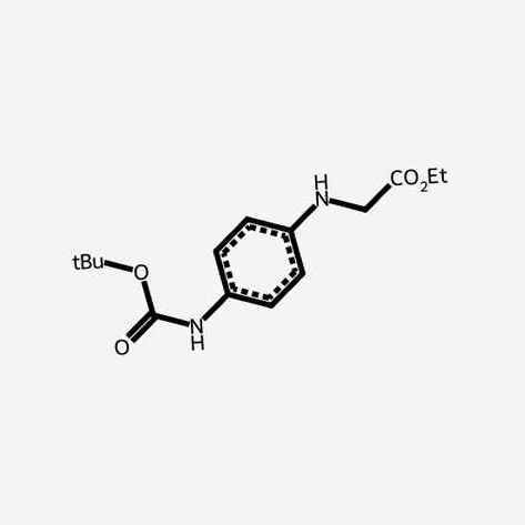 CCOC(=O)CNc1ccc(NC(=O)OC(C)(C)C)cc1